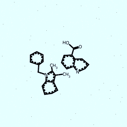 Cc1c(C)n(Cc2ccccc2)c2ccccc12.O=C(O)c1cccc2ncccc12